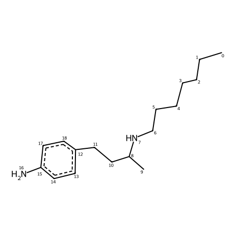 CCCCCCCNC(C)CCc1ccc(N)cc1